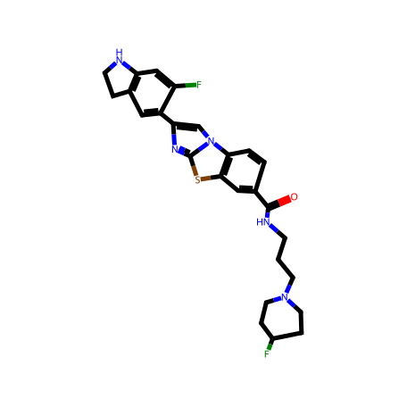 O=C(NCCCN1CCC(F)CC1)c1ccc2c(c1)sc1nc(-c3cc4c(cc3F)NCC4)cn12